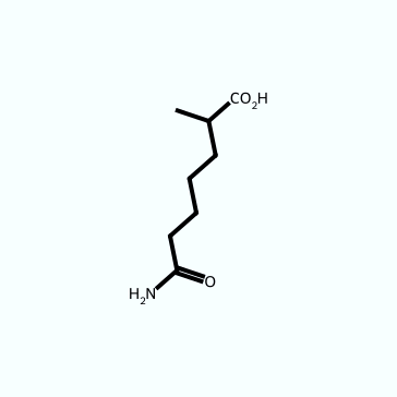 CC(CCCCC(N)=O)C(=O)O